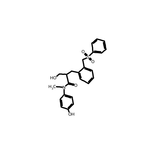 CN(C(=O)C(CO)Cc1ccccc1CS(=O)(=O)c1ccccc1)c1ccc(O)cc1